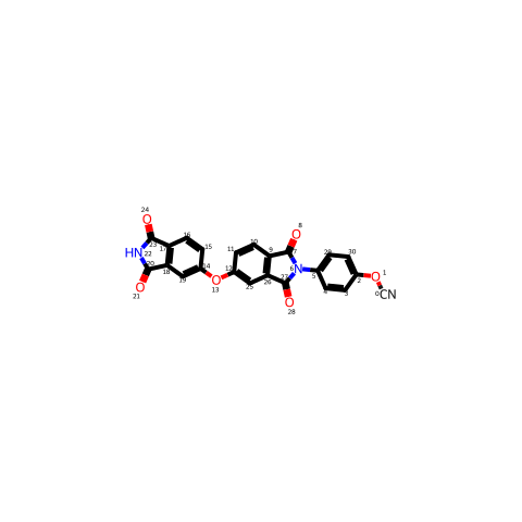 N#COc1ccc(N2C(=O)c3ccc(Oc4ccc5c(c4)C(=O)NC5=O)cc3C2=O)cc1